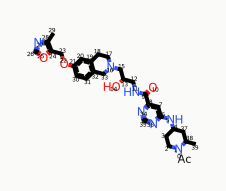 CC(=O)N1CCC(Nc2cc(C(=O)NCC(O)CN3CCc4cc(OCc5ocnc5C)ccc4C3)ncn2)CC1C